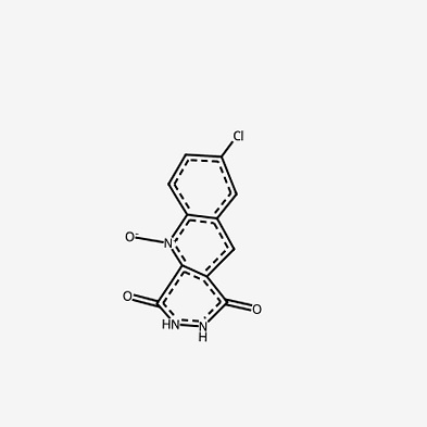 O=c1[nH][nH]c(=O)c2c1cc1cc(Cl)ccc1[n+]2[O-]